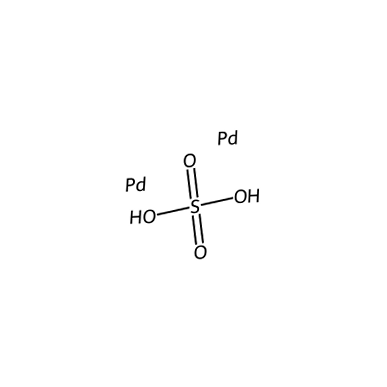 O=S(=O)(O)O.[Pd].[Pd]